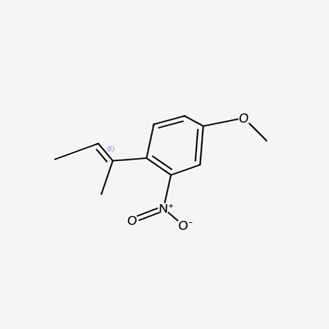 C/C=C(\C)c1ccc(OC)cc1[N+](=O)[O-]